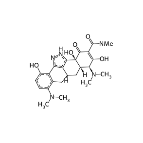 CNC(=O)C1=C(O)[C@@H](N(C)C)[C@@H]2C[C@@H]3Cc4c(N(C)C)ccc(O)c4-c4n[nH]c(c43)[C@]2(O)C1=O